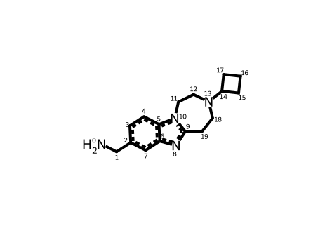 NCc1ccc2c(c1)nc1n2CCN(C2CCC2)CC1